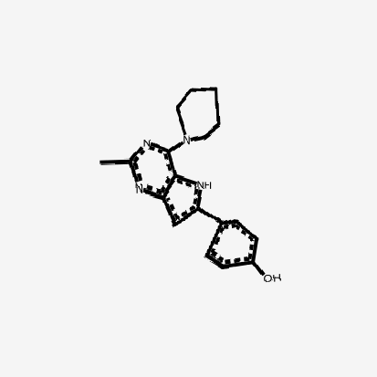 Cc1nc(N2CCCCC2)c2[nH]c(-c3ccc(O)cc3)cc2n1